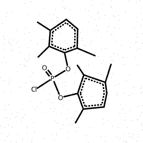 Cc1ccc(C)c(OP(=O)(Cl)Oc2c(C)ccc(C)c2C)c1C